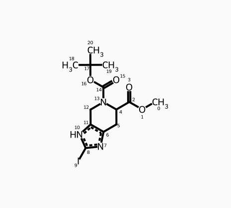 COC(=O)C1Cc2nc(I)[nH]c2CN1C(=O)OC(C)(C)C